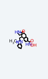 Cn1c(CC2c3ccc(C(=O)NO)cc3CCC23CCNC3=O)nc2ccccc21